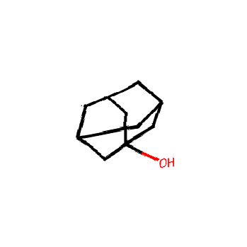 OC12C[C]3[CH]C(CC(C3)C1)C2